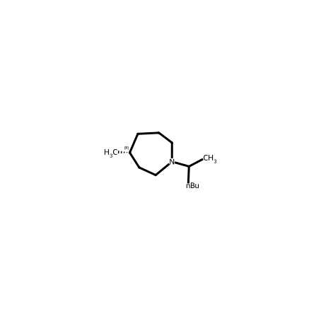 CCCCC(C)N1CCC[C@@H](C)CC1